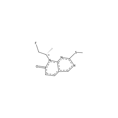 CSc1ncc2ccc(=O)n([C@@H](C)CF)c2n1